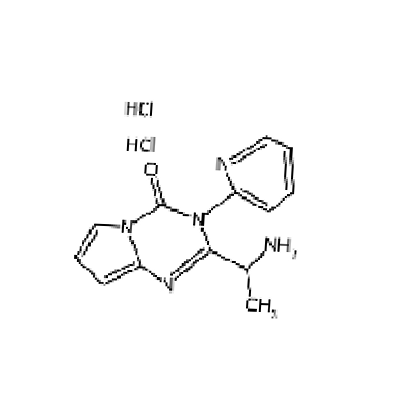 CC(N)c1nc2cccn2c(=O)n1-c1ccccn1.Cl.Cl